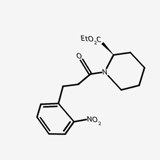 CCOC(=O)[C@H]1CCCCN1C(=O)CCc1ccccc1[N+](=O)[O-]